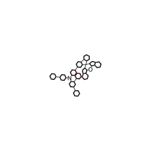 c1ccc(-c2ccc(N(c3ccc(-c4ccc5c(c4)C4(c6ccccc6-5)c5ccc6ccccc6c5Oc5c4ccc4ccccc54)cc3)c3ccc(-c4ccccc4)cc3-c3ccccc3)cc2)cc1